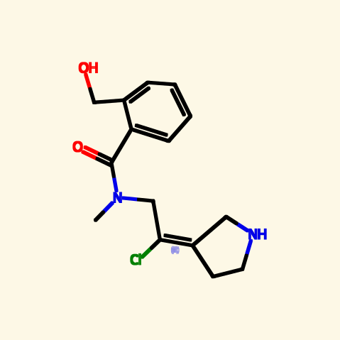 CN(C/C(Cl)=C1/CCNC1)C(=O)c1ccccc1CO